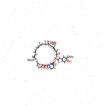 CO[C@H]1CC2CC[C@@H](C)[C@@](O)(O2)C(=O)C(=O)N2CCCC[C@H]2C(=O)O[C@H]([C@H](C)C[C@@H]2CC[C@@H](O)[C@H](OC)C2)CC(=O)[C@H](C)/C=C(\C)[C@@H](O)[C@@H](OC)C(=O)[C@H](C)C[C@H](C)/C=C/C=C/C=C/1C